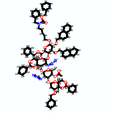 CC(=O)O[C@H]1[C@@H](O[C@H]2[CH][C@H](OCc3ccccc3)[C@H]3O[C@H](c4ccccc4)OC[C@H]3O2)[C@H](N=[N+]=[N-])[C@H](O[C@@H]2[C@@H](N=[N+]=[N-])[C@@H](O[C@@H]3[C@H](OCc4ccc5ccccc5c4)[C@@H](OCc4ccc5ccccc5c4)[C@@H](OCCCCCN(Cc4ccccc4)C(=O)OCc4ccccc4)O[C@@H]3COCc3ccccc3)O[C@@H]3CO[C@H](c4ccccc4)O[C@H]23)O[C@H]1C